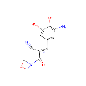 N#C/C(=C\c1cc(N)c(O)c(O)c1)C(=O)N1COC1